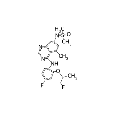 Cc1cc(N=S(C)(C)=O)cc2ncnc(Nc3ccc(F)cc3OC(C)CF)c12